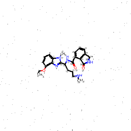 CCOc1cccc2c1nc(C(CCCNC)NC(=O)c1cccc3c1C(=O)NC3)n2C